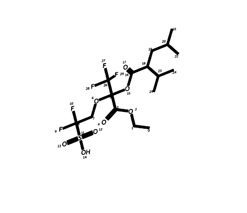 CCOC(=O)C(OCC(F)(F)S(=O)(=O)O)(OC(=O)C(CC(C)C)C(C)C)C(F)(F)F